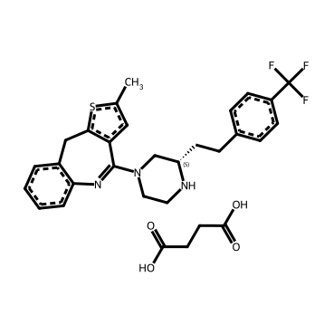 Cc1cc2c(s1)Cc1ccccc1N=C2N1CCN[C@@H](CCc2ccc(C(F)(F)F)cc2)C1.O=C(O)CCC(=O)O